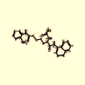 Nc1ccccc1NC(=O)CCCCC(NC(=O)O)C(=O)Nc1cccc2cccnc12